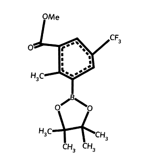 COC(=O)c1cc(C(F)(F)F)cc(B2OC(C)(C)C(C)(C)O2)c1C